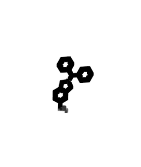 O=[N+]([O-])c1ccc2c(c1)CN(C(c1ccccc1)c1ccccc1)C2